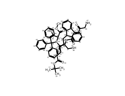 COC(=O)[C@@](C(=O)O)(C(CCCNC(=O)OC(C)(C)C)C1c2ccccc2-c2ccccc21)N(C(=O)C(CS)NC(=O)CNC(=O)CN)C(c1ccccc1)(c1ccccc1)c1ccccc1